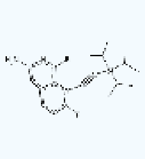 CC(C)[Si](C#Cc1c(F)ccc2cc(N)nc(Br)c12)(C(C)C)C(C)C